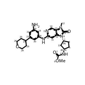 COC(=O)N[C@@H]1CC[C@@H](n2c(=O)n(C)c3cnc(Nc4cc(N)cc(C5CCOCC5)c4)cc32)C1